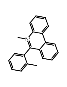 Cc1ccccc1-c1c2ccccc2c2ccccc2[n+]1C